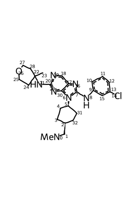 CNC[C@H]1CC[C@@H](n2c(Nc3cccc(Cl)c3)nc3cnc(NC4(C)CCOCC4)nc32)CC1